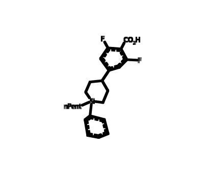 CCCCC[Si]1(c2ccccc2)CCC(c2cc(F)c(C(=O)O)c(F)c2)CC1